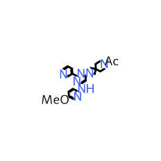 COc1ccc(Nc2cc(N3CC4(CCN(C(C)=O)CC4)C3)nc(-c3cccnc3)n2)nc1